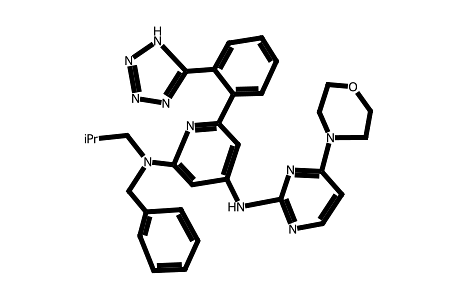 CC(C)CN(Cc1ccccc1)c1cc(Nc2nccc(N3CCOCC3)n2)cc(-c2ccccc2-c2nnn[nH]2)n1